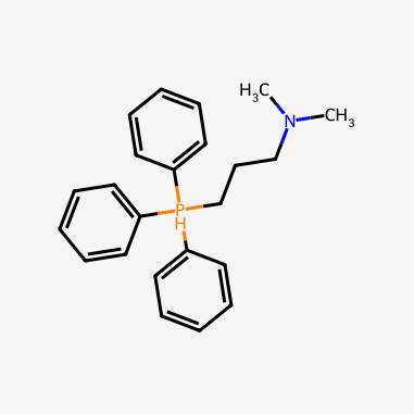 CN(C)CCC[PH](c1ccccc1)(c1ccccc1)c1ccccc1